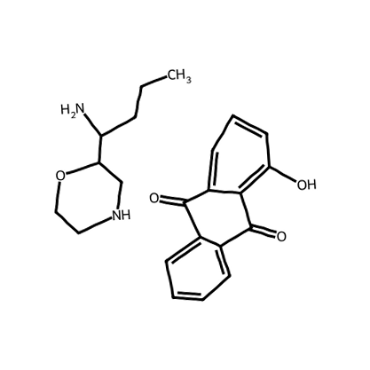 CCCC(N)C1CNCCO1.O=C1c2ccccc2C(=O)c2c(O)cccc21